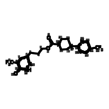 O=C(OCCCc1cc(C(F)(F)F)c(=O)[nH]n1)N1CCN(c2ncc(C(F)(F)F)cn2)CC1